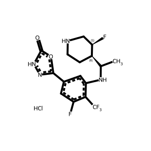 CC(Nc1cc(-c2n[nH]c(=O)o2)cc(F)c1C(F)(F)F)[C@H]1CCNC[C@H]1F.Cl